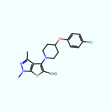 Cc1nn(C)c2sc(C=O)c(N3CCC(Oc4ccc(Cl)cc4)CC3)c12